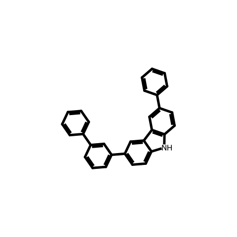 c1ccc(-c2cccc(-c3ccc4[nH]c5ccc(-c6ccccc6)cc5c4c3)c2)cc1